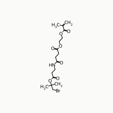 C=C(C)C(=O)OCCOC(=O)CCC(=O)NCCC(=O)OC(C)(C)CBr